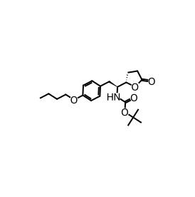 CCCCOc1ccc(C[C@H](NC(=O)OC(C)(C)C)[C@@H]2CCC(=O)O2)cc1